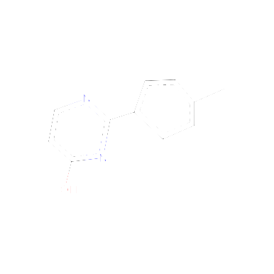 Cc1ccc(-c2nccc(O)n2)cc1